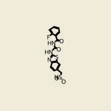 O=C(NC(=O)c1ccccc1F)Nc1nc2ccc(C[SH](=O)=O)cc2s1